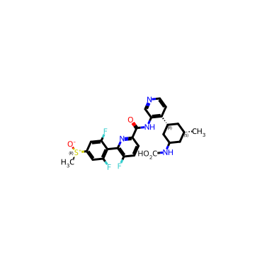 C[C@@H]1CC(NC(=O)O)C[C@H](c2ccncc2NC(=O)c2ccc(F)c(-c3c(F)cc([S@+](C)[O-])cc3F)n2)C1